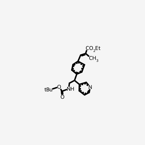 CCOC(=O)C(C)=Cc1ccc(C(CNC(=O)OC(C)(C)C)c2cccnc2)cc1